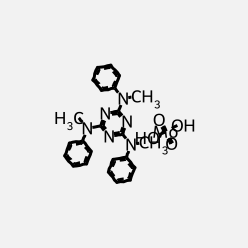 CN(c1ccccc1)c1nc(N(C)c2ccccc2)nc(N(C)c2ccccc2)n1.[O]=[Mo](=[O])([OH])[OH]